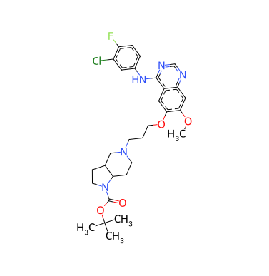 COc1cc2ncnc(Nc3ccc(F)c(Cl)c3)c2cc1OCCCN1CCC2C(CCN2C(=O)OC(C)(C)C)C1